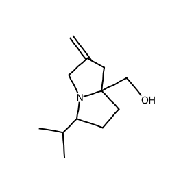 C=C1CN2C(C(C)C)CCC2(CO)C1